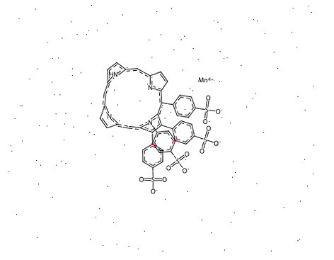 O=S(=O)([O-])c1ccc(-c2c(-c3ccc(S(=O)(=O)[O-])cc3)c3c(-c4ccc(S(=O)(=O)[O-])cc4)c4nc(cc5ccc(cc6nc(cc2n3-c2ccc(S(=O)(=O)[O-])cc2)C=C6)[nH]5)C=C4)cc1.[Mn+4]